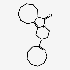 O=c1n2c(c3n1CCN(/C1=N/CCCCCCC1)C3)CCCCCCC2